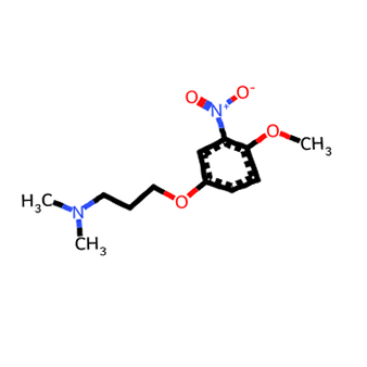 COc1ccc(OCCCN(C)C)cc1[N+](=O)[O-]